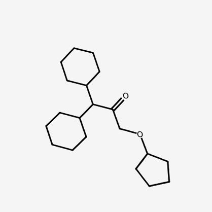 O=C(COC1CCCC1)C(C1CCCCC1)C1CCCCC1